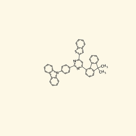 CC1(C)c2ccccc2-c2c(-c3cc(-c4cc5ccccc5s4)nc(-c4ccc(-n5c6ccccc6c6ccccc65)cc4)n3)cccc21